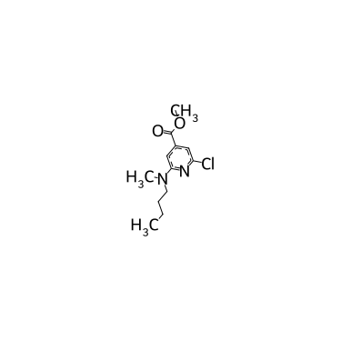 CCCCN(C)c1cc(C(=O)OC)cc(Cl)n1